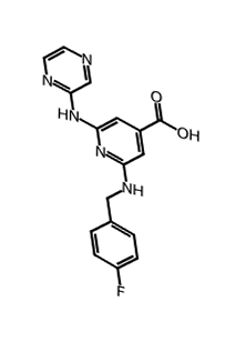 O=C(O)c1cc(NCc2ccc(F)cc2)nc(Nc2cnccn2)c1